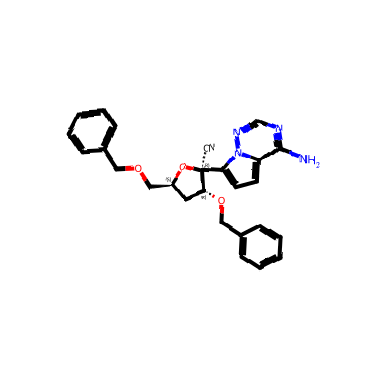 N#C[C@@]1(c2ccc3c(N)ncnn23)O[C@H](COCc2ccccc2)C[C@H]1OCc1ccccc1